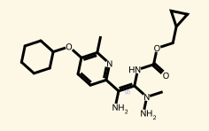 Cc1nc(/C(N)=C(\NC(=O)OCC2CC2)N(C)N)ccc1OC1CCCCC1